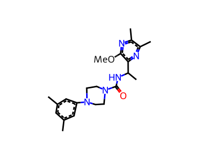 COc1nc(C)c(C)nc1C(C)NC(=O)N1CCN(c2cc(C)cc(C)c2)CC1